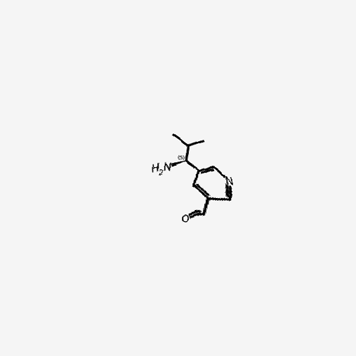 CC(C)[C@H](N)c1cncc(C=O)c1